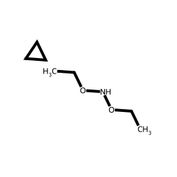 C1CC1.CCONOCC